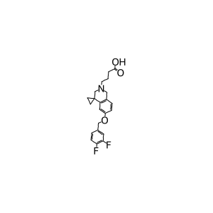 O=C(O)CCCN1Cc2ccc(OCc3ccc(F)c(F)c3)cc2C2(CC2)C1